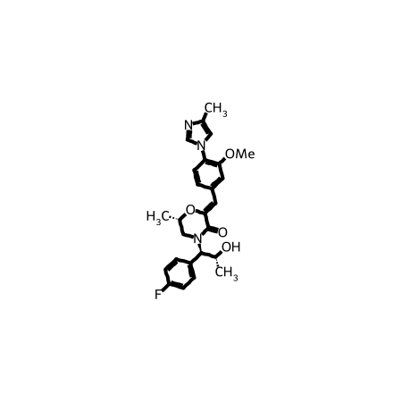 COc1cc(/C=C2\O[C@@H](C)CN([C@H](c3ccc(F)cc3)[C@@H](C)O)C2=O)ccc1-n1cnc(C)c1